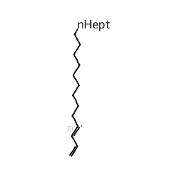 C=C/C=[C]/CCCCCCCCCCCCCCCC